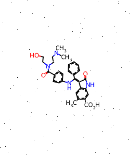 Cc1cc2c(cc1C(=O)O)NC(=O)C2=C(Nc1ccc(C(=O)N(CCO)CCN(C)C)cc1)c1ccccc1